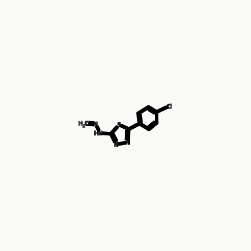 C=NNc1nnc(-c2ccc(Cl)cc2)s1